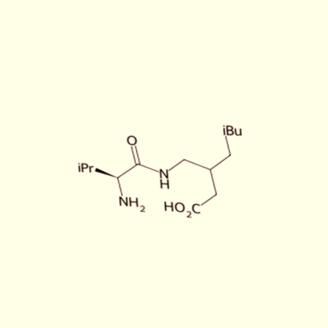 CCC(C)CC(CNC(=O)[C@@H](N)C(C)C)CC(=O)O